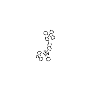 c1ccc(-c2nc(-c3ccc4ccc(-c5ccc6c(c5)C(c5ccccc5)(c5ccccc5)c5ccccc5-6)cc4c3)nc(-c3cccc4oc5ccccc5c34)n2)cc1